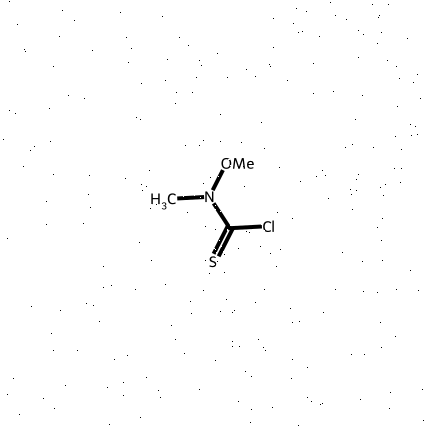 CON(C)C(=S)Cl